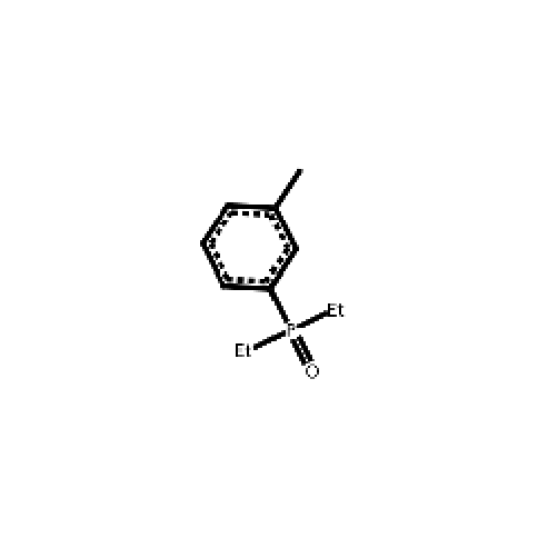 CCP(=O)(CC)c1cccc(C)c1